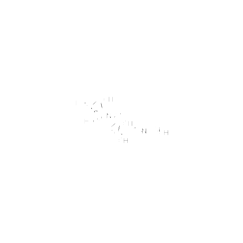 COc1nc(C)cc(C)c1CN1CCc2sc([C@H](C)[C@H]3CC[C@H](N4CC(OC)C4)CC3)c(C)c2C1=O